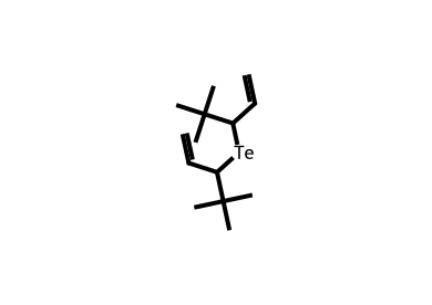 C=CC([Te]C(C=C)C(C)(C)C)C(C)(C)C